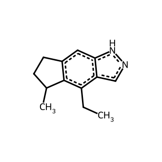 CCc1c2c(cc3[nH]ncc13)CCC2C